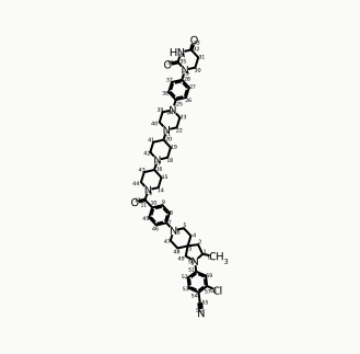 CC1CC2(CCN(c3ccc(C(=O)N4CCC(N5CCC(N6CCN(c7ccc(N8CCC(=O)NC8=O)cc7)CC6)CC5)CC4)cc3)CC2)CN1c1ccc(C#N)c(Cl)c1